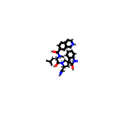 CC(C)C[C@@H](C(=O)N1C[C@]2(C[C@H]1C#N)C(=O)Nc1ccccc12)N(C)C(=O)c1ccc2ccncc2c1